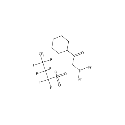 CC(C)[S+](CC(=O)C1CCCCC1)C(C)C.O=S(=O)([O-])C(F)(F)C(F)(F)C(F)(F)C(F)(F)F